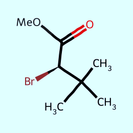 COC(=O)[C@H](Br)C(C)(C)C